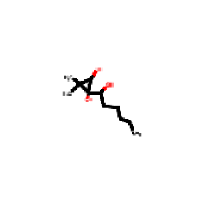 CCCCCC(O)[C@@]1(O)C(O)C1(C)C